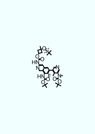 Cc1c(-c2cc3cc(NC(=O)OC4CC(C)(O[Si](C)(C)C(C)(C)C)C4)ncc3c(NC(=O)OC(C)(C)C)c2F)cncc1N(C)C(=O)OC(C)(C)C